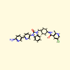 Cc1ncc(Cl)cc1C(=O)NC1CCC(Cn2c(=O)n(-c3ccc(-c4ccc(N)nc4)nc3)c3ccccc32)CC1